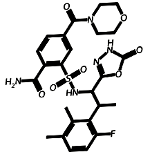 Cc1ccc(F)c(C(C)C(NS(=O)(=O)c2cc(C(=O)N3CCOCC3)ccc2C(N)=O)c2n[nH]c(=O)o2)c1C